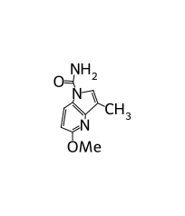 COc1ccc2c(n1)c(C)cn2C(N)=O